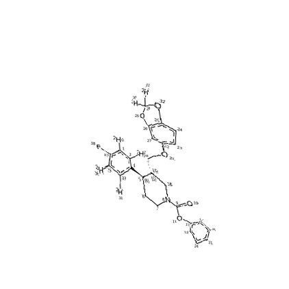 [2H]c1c([2H])c([C@@H]2CCN(C(=O)Oc3ccccc3)C[C@H]2COc2ccc3c(c2)OC([2H])([2H])O3)c([2H])c([2H])c1F